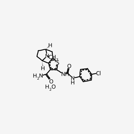 CN1[C@H]2CC[C@@H]1c1c(sc(NC(=O)Nc3ccc(Cl)cc3)c1C(N)=O)C2.O